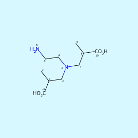 CC(CN(CCN)CC(C)C(=O)O)C(=O)O